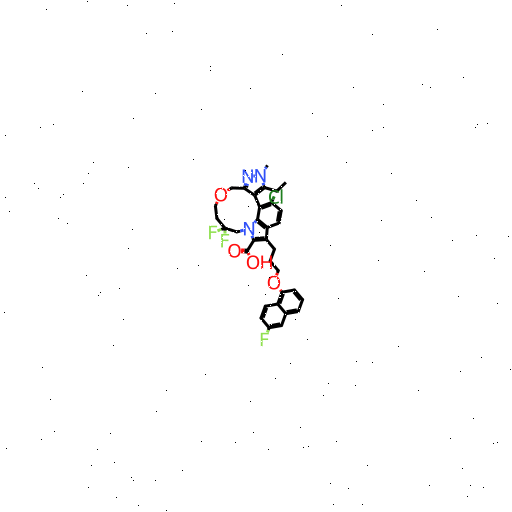 CCc1c2c(nn1C)COCCC(F)(F)Cn1c(C(=O)O)c(CCCOc3cccc4cc(F)ccc34)c3ccc(Cl)c-2c31